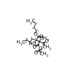 CCCCOC(=O)C(O)(CCCC)C(O)(C(C)=O)C(=O)OC(C)=O